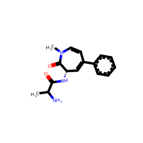 CC(N)C(=O)N[C@H]1C=C(c2ccccc2)C=CN(C)C1=O